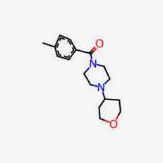 Cc1ccc(C(=O)N2CCN(C3CCOCC3)CC2)cc1